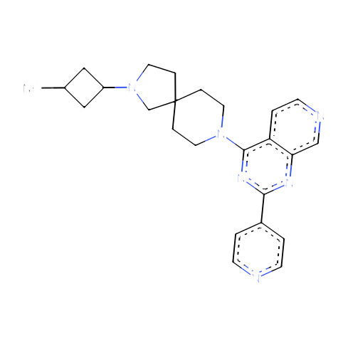 N#CC1CC(N2CCC3(CCN(c4nc(-c5ccncc5)nc5cnccc45)CC3)C2)C1